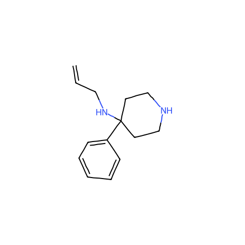 C=CCNC1(c2ccccc2)CCNCC1